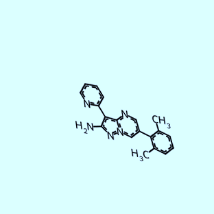 Cc1cccc(C)c1-c1cnc2c(-c3ccccn3)c(N)nn2c1